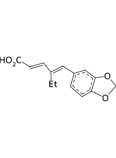 CCC(/C=C/C(=O)O)=C\c1ccc2c(c1)OCO2